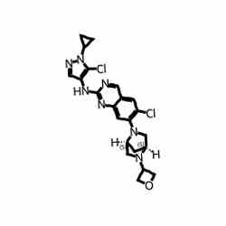 Clc1cc2cnc(Nc3cnn(C4CC4)c3Cl)nc2cc1N1C[C@@H]2C[C@H]1CN2C1COC1